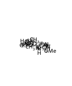 COc1cc(-c2[nH]nc(-c3ccc([C@H](C)N(C)C(=O)[C@@H](C)N(C)C4COC4)cc3)c2C(C)C)cn2ncnc12